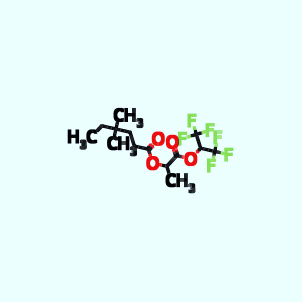 CCC(C)(C)CCC(=O)OC(C)C(=O)OC(C(F)(F)F)C(F)(F)F